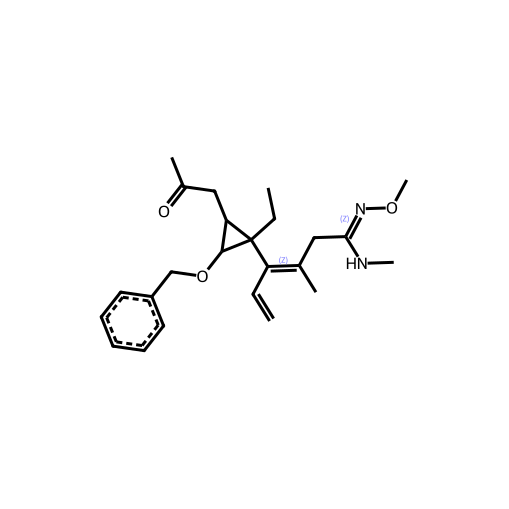 C=C/C(=C(\C)C/C(=N/OC)NC)C1(CC)C(CC(C)=O)C1OCc1ccccc1